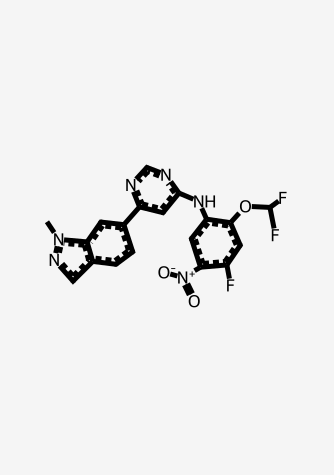 Cn1ncc2ccc(-c3cc(Nc4cc([N+](=O)[O-])c(F)cc4OC(F)F)ncn3)cc21